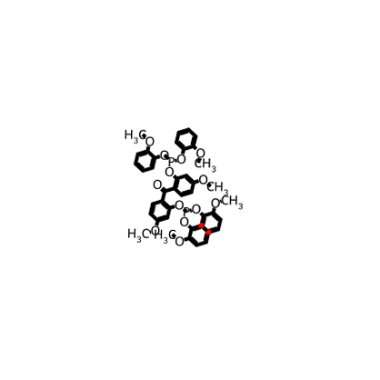 COc1ccc(C(=O)c2ccc(OC)cc2OP(Oc2ccccc2OC)Oc2ccccc2OC)c(OP(Oc2ccccc2OC)Oc2ccccc2OC)c1